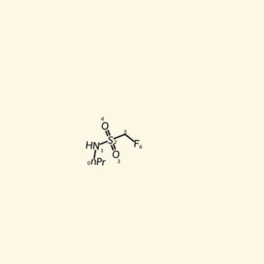 CCCNS(=O)(=O)CF